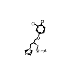 CCCCCCCSC(COc1ccc(Cl)c(Cl)c1)Cn1ccnc1